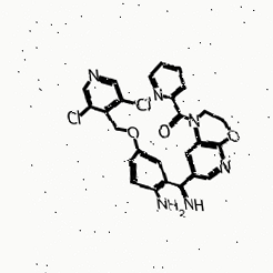 N=C(c1cnc2c(c1)N(C(=O)c1ccccn1)CCO2)c1cc(OCc2c(Cl)cncc2Cl)ccc1N